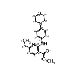 COC(=O)c1cnc(SC)nc1Nc1ccc(N2CCOCC2)cc1